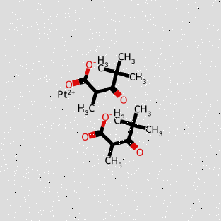 CC(C(=O)[O-])C(=O)C(C)(C)C.CC(C(=O)[O-])C(=O)C(C)(C)C.[Pt+2]